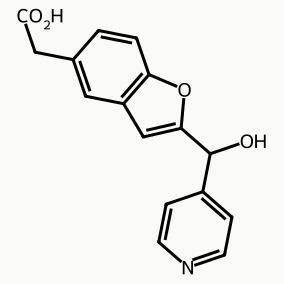 O=C(O)Cc1ccc2oc(C(O)c3ccncc3)cc2c1